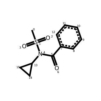 CS(=O)(=O)N(C(=O)c1ccccc1)C1CC1